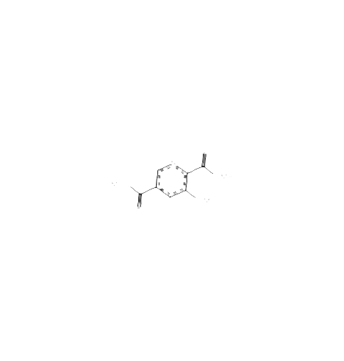 COC(=O)c1cnc(C(=O)OC)c(OC)c1